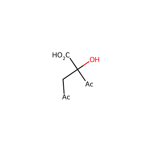 CC(=O)CC(O)(C(C)=O)C(=O)O